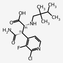 CC(C)C(C)(C)CN[C@@H](C(=O)O)[C@@H](C(N)=O)c1ccnc(Cl)c1F